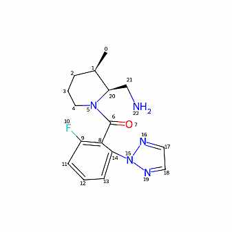 C[C@@H]1CCCN(C(=O)c2c(F)cccc2-n2nccn2)[C@@H]1CN